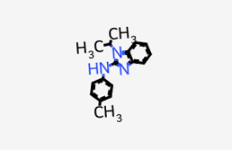 Cc1ccc(Nc2nc3ccccc3n2C(C)C)cc1